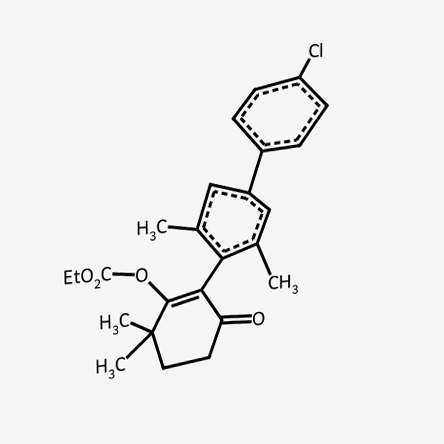 CCOC(=O)OC1=C(c2c(C)cc(-c3ccc(Cl)cc3)cc2C)C(=O)CCC1(C)C